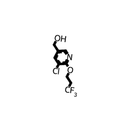 OCc1cnc(OCCC(F)(F)F)c(Cl)c1